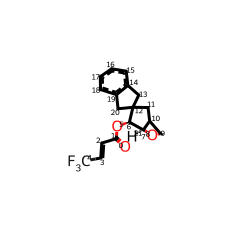 O=C(/C=C/C(F)(F)F)O[C@@H]1[C@@H]2OCC2CC12Cc1ccccc1C2